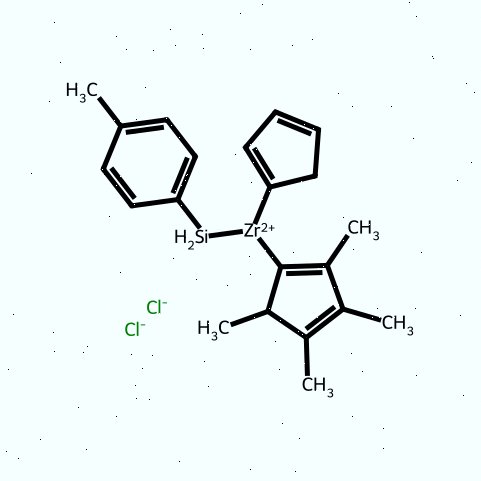 CC1=C(C)C(C)[C]([Zr+2]([SiH2]c2ccc(C)cc2)[C]2=CC=CC2)=C1C.[Cl-].[Cl-]